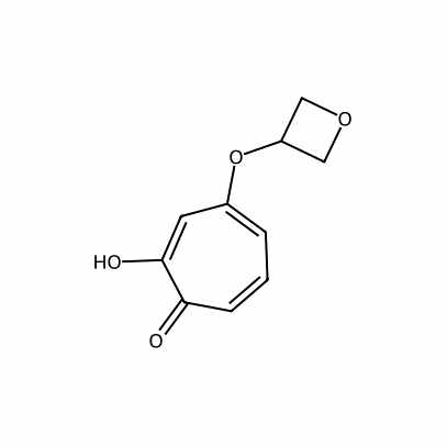 O=c1cccc(OC2COC2)cc1O